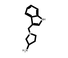 NC1CCN(Cc2c[nH]c3ccccc23)C1